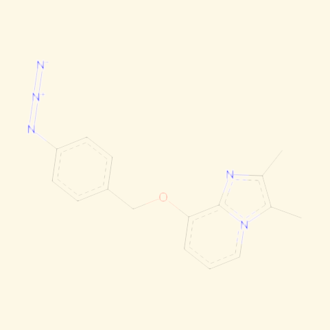 Cc1nc2c(OCc3ccc(N=[N+]=[N-])cc3)cccn2c1C